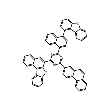 c1ccc2c(c1)ccc1cc(-c3nc(-c4ccc(-c5cccc6oc7ccccc7c56)c5ccccc45)nc(-c4cc5ccccc5c5c4oc4ccccc45)n3)ccc12